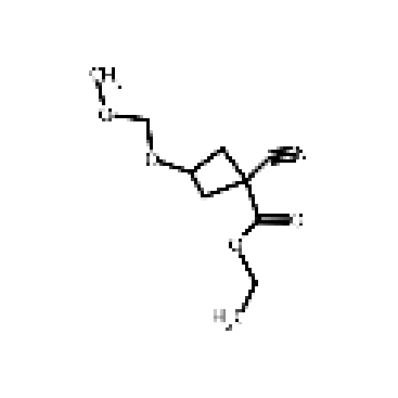 CCOC(=O)C1(C#N)CC(OCOC)C1